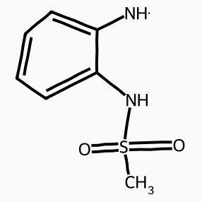 CS(=O)(=O)Nc1ccccc1[NH]